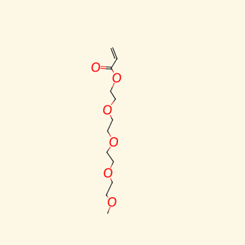 C=CC(=O)OCCOCCOCCOCCOC